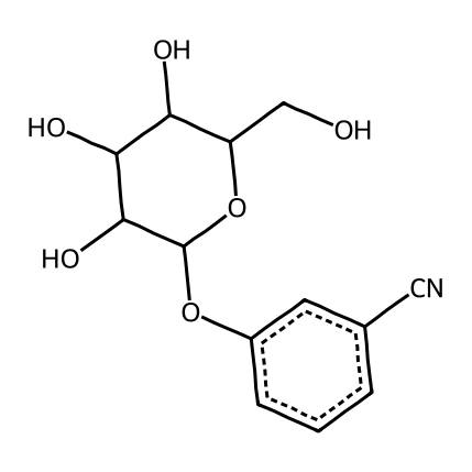 N#Cc1cccc(OC2OC(CO)C(O)C(O)C2O)c1